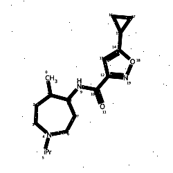 CC1CCN(C(C)C)CCC1NC(=O)c1cc(C2CC2)on1